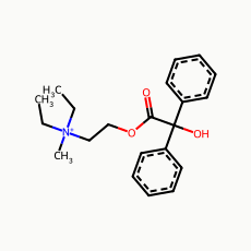 CC[N+](C)(CC)CCOC(=O)C(O)(c1ccccc1)c1ccccc1